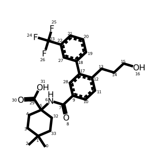 CC1(C)CCC(NC(=O)c2ccc(CCCO)c(-c3cccc(C(F)(F)F)c3)c2)(C(=O)O)CC1